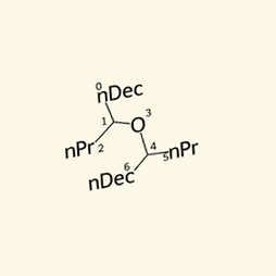 CCCCCCCCCCC(CCC)OC(CCC)CCCCCCCCCC